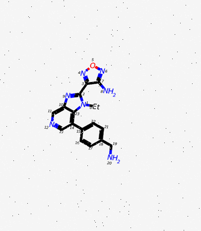 CCn1c(-c2nonc2N)nc2cncc(-c3ccc(CN)cc3)c21